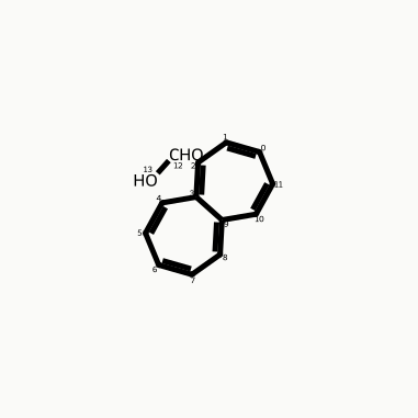 C1=CC=C2C=CC=CC=C2C=C1.O=CO